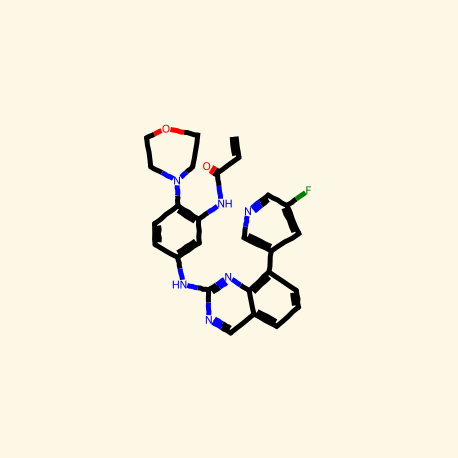 C=CC(=O)Nc1cc(Nc2ncc3cccc(-c4cncc(F)c4)c3n2)ccc1N1CCOCC1